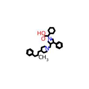 C[C@H](Cc1ccccc1)CC1CCN(CC2CN(C(C(=O)O)C3CCCCC3)CC2c2ccccc2)CC1